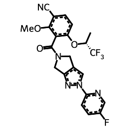 COc1c(C#N)ccc(O[C@H](C)C(F)(F)F)c1C(=O)N1Cc2cn(-c3ccc(F)cn3)nc2C1